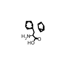 C1=CC2=CC=C1C2.N[C@@H](Cc1ccccc1)C(=O)O